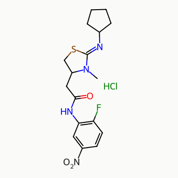 CN1C(=NC2CCCC2)SCC1CC(=O)Nc1cc([N+](=O)[O-])ccc1F.Cl